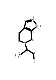 CC(CI)N1CCc2cn[nH]c2C1